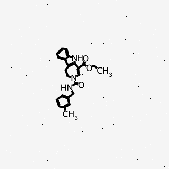 CCOC(=O)C1=CN(C(=O)NCc2cccc(C)c2)CCc2c1[nH]c1ccccc21